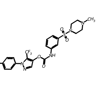 CN1CCN(S(=O)(=O)c2cccc(NC(=O)Oc3cnn(-c4ccc(Cl)cc4)c3C(F)(F)F)c2)CC1